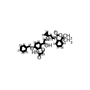 CC1(C)OC(=O)N(CCC2(NCC(O)c3ccc(OCc4ccccc4)c4c3OCC(=O)N4)CC2)c2ccccc21